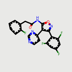 O=C(Cc1ccccc1F)Nc1onc(-c2c(F)cc(F)cc2F)c1-c1ccncn1